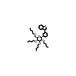 CCCCOC[C@H]1O[C@@H](c2cccc(-c3csc4ccccc34)c2)[C@H](OCCCC)[C@@H](OCCCC)[C@@H]1OCCCC